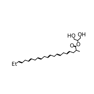 CC/C=C/C/C=C/C/C=C/C/C=C/C/C=C/C/C=C/CC(C)C(=O)OC(CO)CO